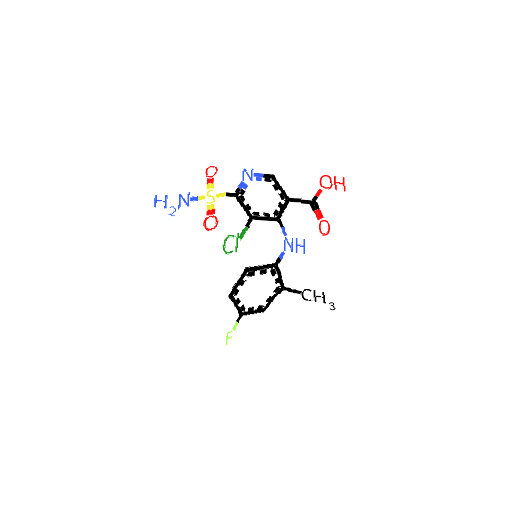 Cc1cc(F)ccc1Nc1c(C(=O)O)cnc(S(N)(=O)=O)c1Cl